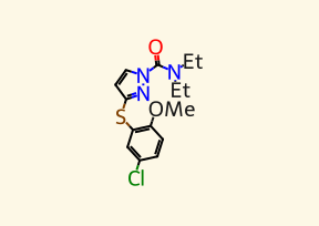 CCN(CC)C(=O)n1ccc(Sc2cc(Cl)ccc2OC)n1